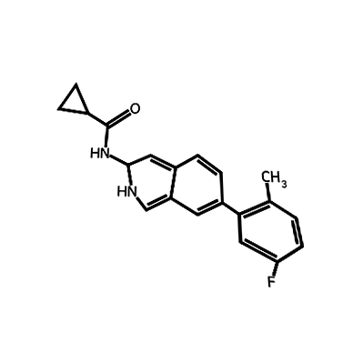 Cc1ccc(F)cc1-c1ccc2c(c1)=CNC(NC(=O)C1CC1)C=2